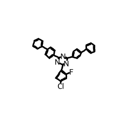 Fc1cc(Cl)ccc1-c1nc(-c2ccc(-c3ccccc3)cc2)nc(-c2ccc(-c3ccccc3)cc2)n1